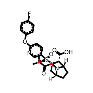 CN(C)C(=O)CN1[C@@H]2CC[C@H]1[C@@H](C(=O)O)N(S(=O)(=O)c1ccc(Oc3ccc(F)cc3)nc1)C2